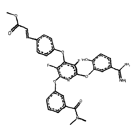 COC(=O)C=Cc1ccc(Oc2c(F)c(Oc3cccc(C(=O)N(C)C)c3)nc(Oc3cc(C(=N)N)ccc3O)c2F)cc1